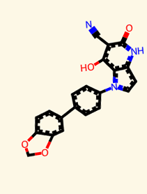 N#Cc1c(O)c2c(ccn2-c2ccc(-c3ccc4c(c3)OCO4)cc2)[nH]c1=O